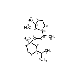 CC(C)N1CCC[C@@](C)(OCC(C)N2CCC[C@](C)(O)C2)C1